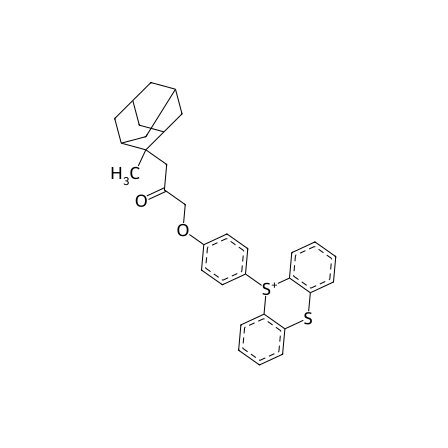 CC1(CC(=O)COc2ccc([S+]3c4ccccc4Sc4ccccc43)cc2)C2CC3CC(C2)CC1C3